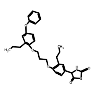 CCCc1cc(Oc2ccccc2)ccc1OCCCOc1ccc(C2NC(=O)SC2=O)cc1CCC